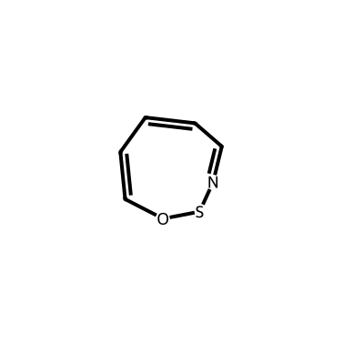 c1ccnsocc1